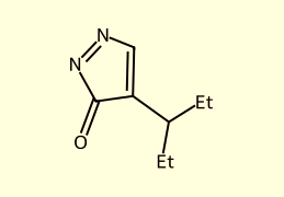 CCC(CC)C1=CN=NC1=O